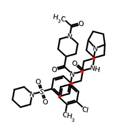 CC(=O)N1CCC(C(=O)N(CCCN2C3CCC2CC(NC(=O)Cc2ccc(S(=O)(=O)N4CCCCC4)cc2)C3)c2ccc(C)c(Cl)c2)CC1